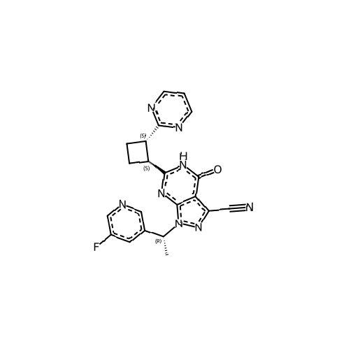 C[C@H](c1cncc(F)c1)n1nc(C#N)c2c(=O)[nH]c([C@H]3CC[C@@H]3c3ncccn3)nc21